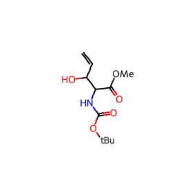 C=CC(O)C(NC(=O)OC(C)(C)C)C(=O)OC